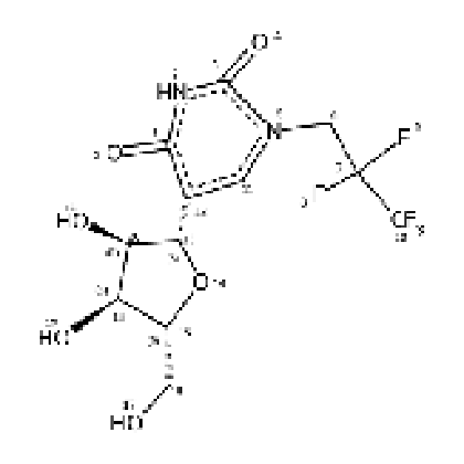 O=c1[nH]c(=O)n(CC(F)(F)C(F)(F)F)cc1[C@@H]1O[C@H](CO)[C@@H](O)[C@H]1O